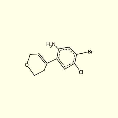 Nc1cc(Br)c(Cl)cc1C1=CCOCC1